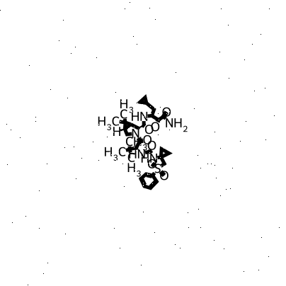 CC(C)(C)[C@H](NC(=O)NC1(CS(=O)(=O)c2ccccc2)CC1)C(=O)N1C[C@H]2C([C@H]1C(=O)NC(CC1CC1)C(=O)C(N)=O)C2(C)C